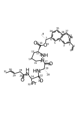 C=Cc1cc2cc([C@@H](C)OC(=O)[C@@H]3CCCN(C(=O)[C@H](C)NC(=O)C(NC(=O)C/C=C/C)C(C)C)N3)ccc2cn1